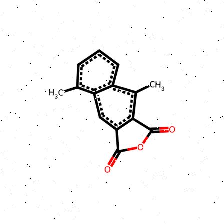 Cc1cccc2c(C)c3c(cc12)C(=O)OC3=O